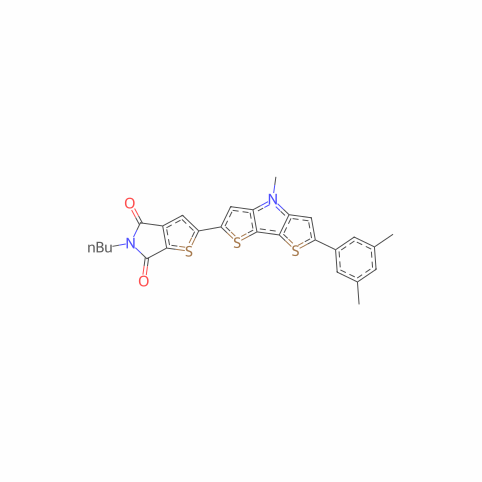 CCCCN1C(=O)c2cc(-c3cc4c(s3)c3sc(-c5cc(C)cc(C)c5)cc3n4C)sc2C1=O